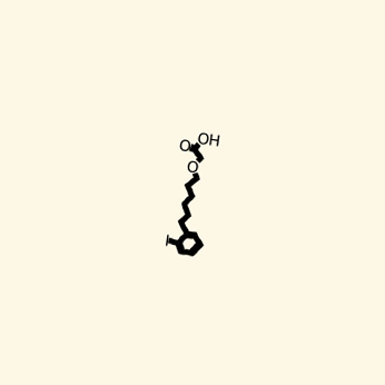 O=C(O)COCCCCCCc1ccccc1I